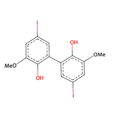 COc1cc(I)cc(-c2cc(I)cc(OC)c2O)c1O